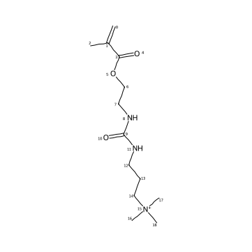 C=C(C)C(=O)OCCNC(=O)NCCC[N+](C)(C)C